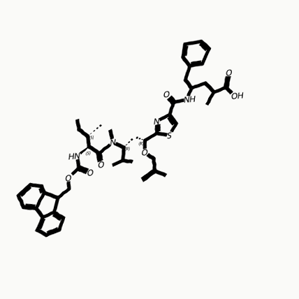 C=C(C)CO[C@H](C[C@H](C(C)C)N(C)C(=O)[C@@H](NC(=O)OCC1c2ccccc2-c2ccccc21)[C@@H](C)CC)c1nc(C(=O)NC(Cc2ccccc2)CC(C)C(=O)O)cs1